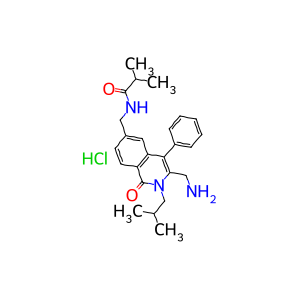 CC(C)Cn1c(CN)c(-c2ccccc2)c2cc(CNC(=O)C(C)C)ccc2c1=O.Cl